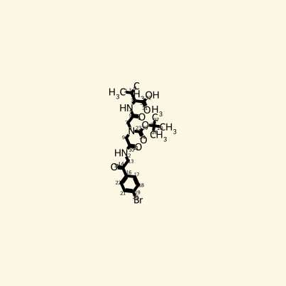 CC(C)C(NC(=O)CN(CC(=O)NCC(=O)c1ccc(Br)cc1)C(=O)OC(C)(C)C)C(=O)O